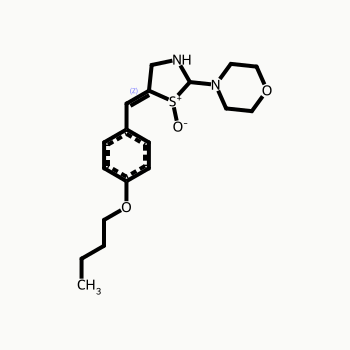 CCCCOc1ccc(/C=C2/CNC(N3CCOCC3)[S+]2[O-])cc1